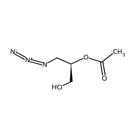 CC(=O)O[C@@H](CO)CN=[N+]=[N-]